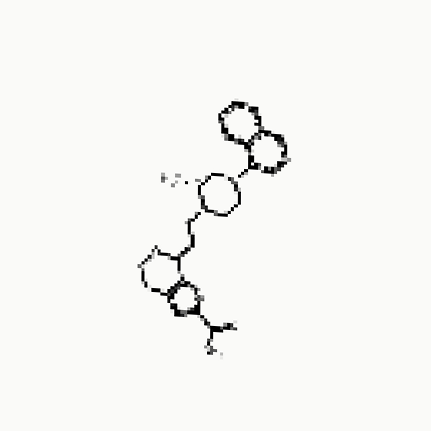 C[C@@H]1CN(c2cccc3ccccc23)CCN1CCC1OCCc2cc(C(N)=O)sc21